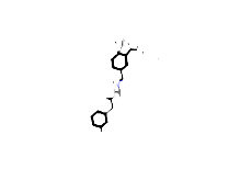 Nc1n[nH]c2ccc(/C=N/NC(=O)Cc3cccc(O)c3)cc12